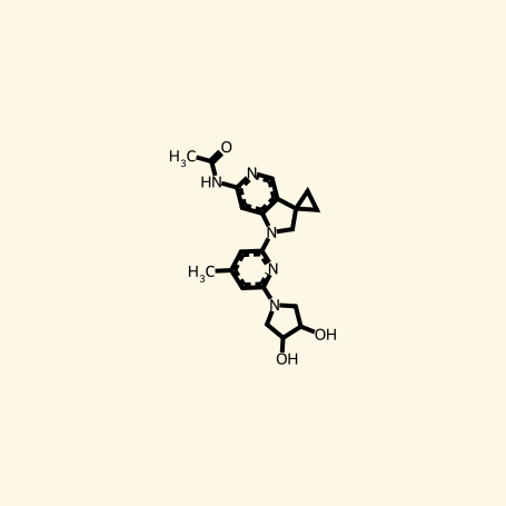 CC(=O)Nc1cc2c(cn1)C1(CC1)CN2c1cc(C)cc(N2CC(O)C(O)C2)n1